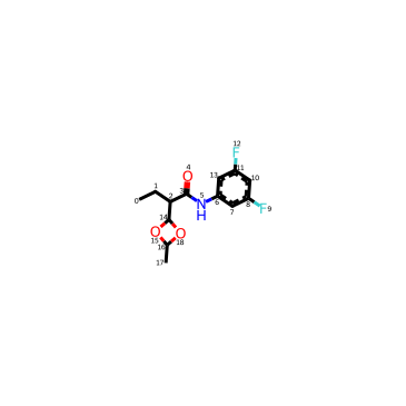 CCC(C(=O)Nc1cc(F)cc(F)c1)C1OC(C)O1